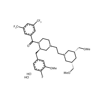 COC[C@@H]1C[C@H](COC)CN(CCN2CCN(C(=O)c3cc(C(F)(F)F)cc(C(F)(F)F)c3)[C@H](Cc3ccc(F)c(OC)c3)C2)C1.Cl.Cl